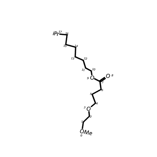 COCCOCCCC(=O)OCCCCCCCC(C)C